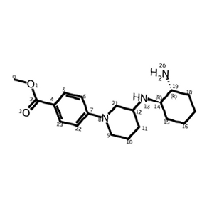 COC(=O)c1ccc(N2CCCC(N[C@@H]3CCCC[C@H]3N)C2)cc1